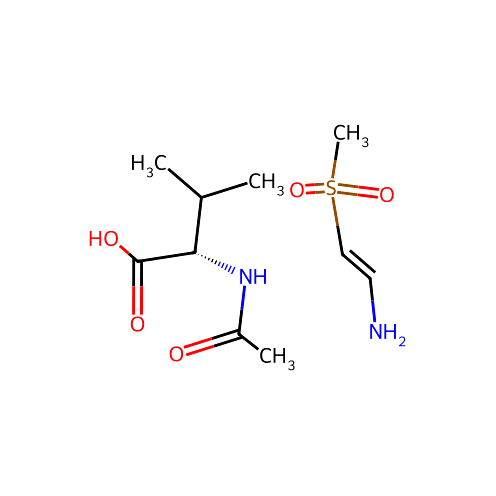 CC(=O)N[C@H](C(=O)O)C(C)C.CS(=O)(=O)C=CN